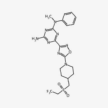 CN(c1ccccc1)c1nc(N)nc(-c2noc(N3CCC(CS(=O)(=O)CC(F)(F)F)CC3)n2)n1